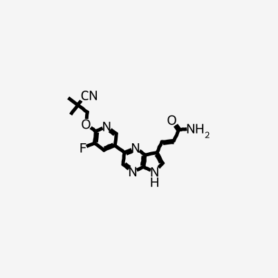 CC(C)(C#N)COc1ncc(-c2cnc3[nH]cc(C=CC(N)=O)c3n2)cc1F